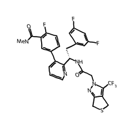 CNC(=O)c1cc(-c2cccnc2[C@H](Cc2cc(F)cc(F)c2)NC(=O)Cn2nc3c(c2C(F)(F)F)CSC3)ccc1F